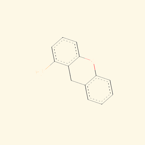 Pc1cccc2c1Cc1ccccc1O2